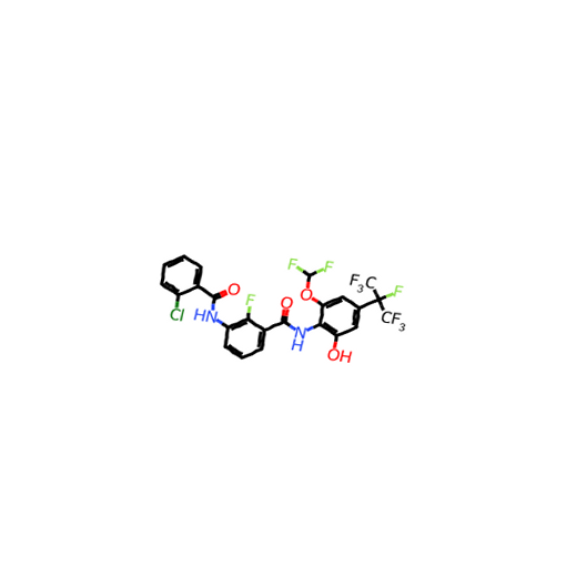 O=C(Nc1cccc(C(=O)Nc2c(O)cc(C(F)(C(F)(F)F)C(F)(F)F)cc2OC(F)F)c1F)c1ccccc1Cl